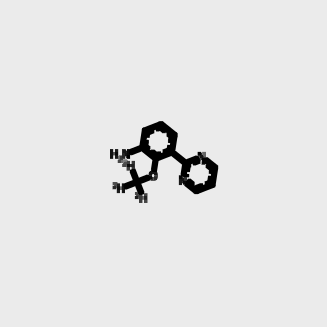 [2H]C([2H])([2H])Oc1c(N)cccc1-c1ncccn1